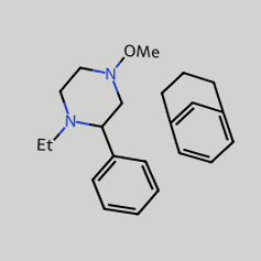 CCN1CCN(OC)CC1c1ccccc1.c1cc2cc(c1)CCC2